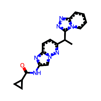 CC(c1ccc2nc(NC(=O)C3CC3)cn2n1)c1nnc2ccccn12